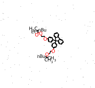 CCCCC(C)(C)OCCOc1ccc(C2(c3ccc(OCCOC(=O)C(C)(CC)CCCC)cc3)c3ccccc3-c3ccccc32)cc1